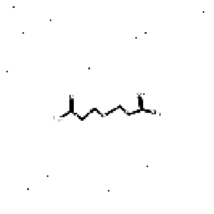 CC(=O)CC[N]CCC(C)=O